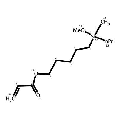 C=CC(=O)OCCCCC[Si](C)(CCC)OC